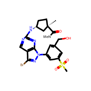 CNC(=O)[C@]1(C)CC[C@@H](Nc2ncc3c(Br)nn(-c4cc(CO)cc(S(C)(=O)=O)c4)c3n2)C1